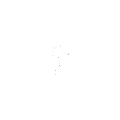 O=C1CC(N=NBr)C(=O)N1